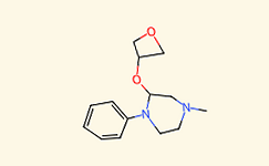 CN1CCN(c2ccccc2)C(OC2COC2)C1